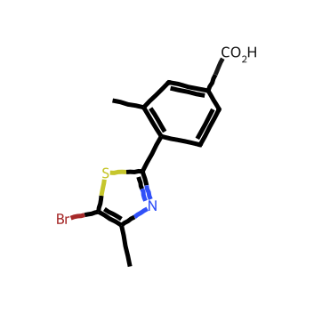 Cc1cc(C(=O)O)ccc1-c1nc(C)c(Br)s1